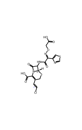 O=C(O)CON=C(C(=O)NC1C(=O)N2C(C(=O)O)=C(/C=C/Cl)CS[C@@H]12)c1cscn1